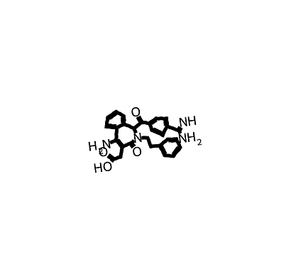 N=C(N)c1ccc(C(=O)C2c3ccccc3C(N)=C(CC(=O)O)C(=O)N2CCc2ccccc2)cc1